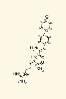 N=C(N)NCCC[C@@H](NC(=O)[C@H](N)Cc1ccc(-c2ccc(Cl)cc2)cc1)C(N)=O